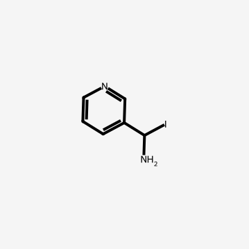 NC(I)c1cccnc1